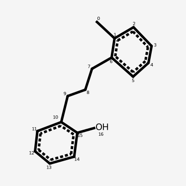 Cc1ccccc1CCCc1ccccc1O